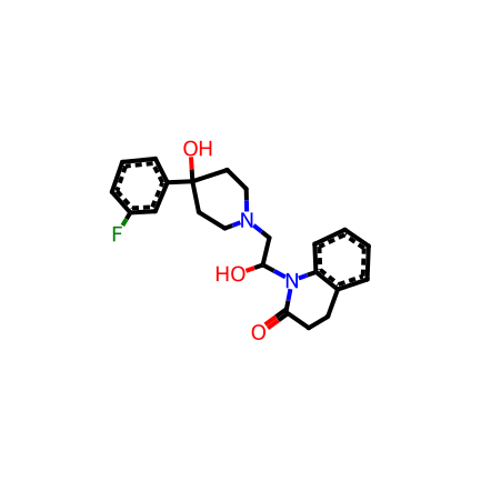 O=C1CCc2ccccc2N1C(O)CN1CCC(O)(c2cccc(F)c2)CC1